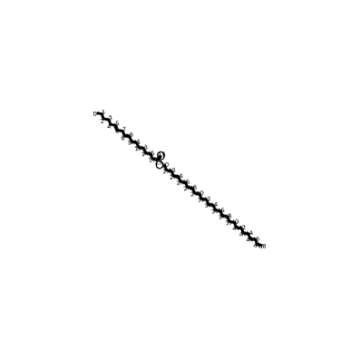 CCCCC/C=C/C/C=C/CCCCCCCC(=O)O[CH]CCCCCCCCCCCCCCCCCCCCCCCCCCCC